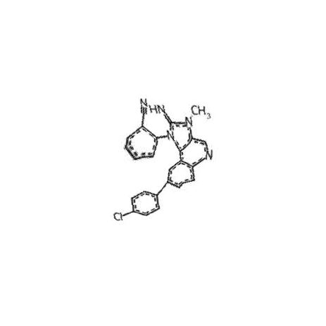 Cn1c(=N)n(-c2ccccc2C#N)c2c3cc(-c4ccc(Cl)cc4)ccc3ncc21